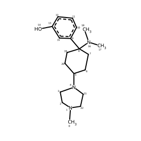 CN1CCN(C2CCC(c3cccc(O)c3)(N(C)C)CC2)CC1